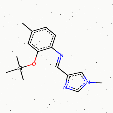 Cc1ccc(N=Cc2cn(C)cn2)c(O[Si](C)(C)C)c1